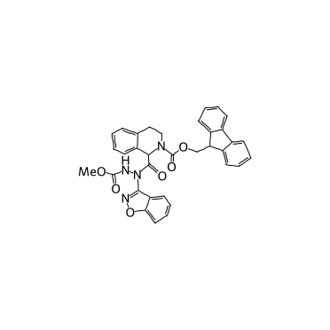 COC(=O)NN(C(=O)C1c2ccccc2CCN1C(=O)OCC1c2ccccc2-c2ccccc21)c1noc2ccccc12